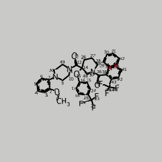 COc1ccccc1N1CCN(C(=O)C2(Oc3ccc(C(F)(F)F)cc3)CC[C@H](c3ccccc3)N(C(=O)c3cnccc3C(F)(F)F)C2)CC1